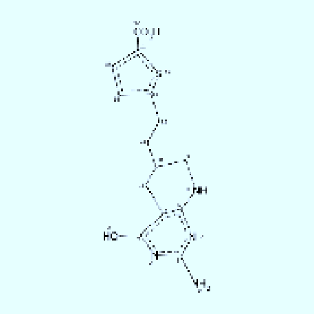 Nc1nc(O)c2c(n1)NCC(CCc1ccc(C(=O)O)s1)C2